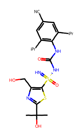 CC(C)c1cc(C#N)cc(C(C)C)c1NC(=O)N[S@](=N)(=O)c1sc(C(C)(C)O)nc1CO